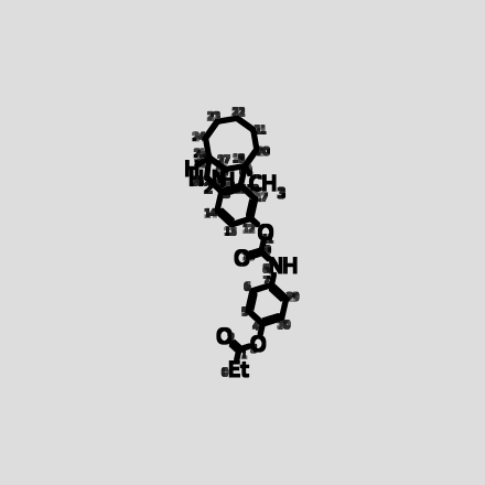 CCC(=O)Oc1ccc(NC(=O)Oc2ccc3c(c2)[C@@]2(C)CCCCC[C@@H](C3)[C@@H]2N)cc1